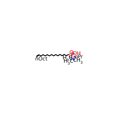 CCCCCCCC/C=C\CCCCCCCCCCCCCCOP(=O)(O)C(CCC)[N+](C)(C)C